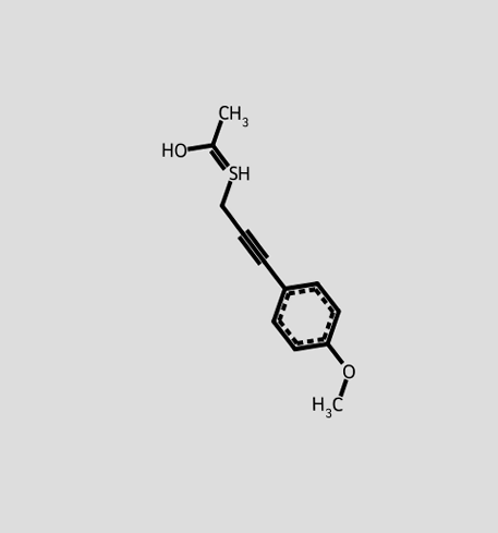 COc1ccc(C#CC[SH]=C(C)O)cc1